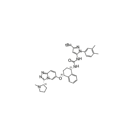 Cc1ccc(-n2nc(C(C)(C)C)cc2NC(=O)N[C@H]2CC[C@@H](Oc3ccc4nnc([C@@H]5CCCN5C)n4c3)c3ccccc32)cc1C